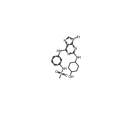 CCn1cnc2c(Nc3cccc(NS(C)(=O)=O)c3)nc(NC3CCC(O)CC3)nc21